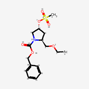 CC(=O)COC[C@@H]1C[C@@H](OS(C)(=O)=O)CN1C(=O)OCc1ccccc1